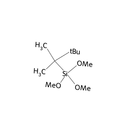 CO[Si](OC)(OC)C(C)(C)C(C)(C)C